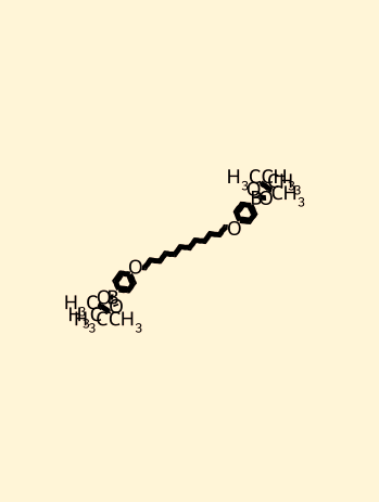 CC1(C)OB(c2ccc(OCCCCCCCCCCCCOc3ccc(B4OC(C)(C)C(C)(C)O4)cc3)cc2)OC1(C)C